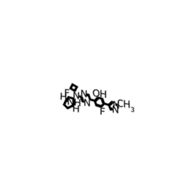 Cn1cc(-c2cc(O)c(-c3cnc(N(C4CCC4)[C@H]4C[C@@H]5CC[C@@H](N5)[C@H]4F)cn3)cc2F)cn1